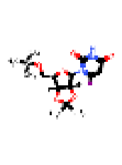 CC1(C)O[C@@H]2[C@H](O1)[C@@H](CO[Si](C)(C)C(C)(C)C)O[C@H]2n1c(I)cc(=O)[nH]c1=O